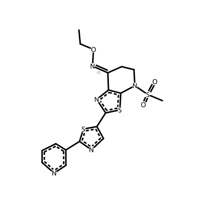 CCO/N=C1\CCN(S(C)(=O)=O)c2sc(-c3cnc(-c4cccnc4)s3)nc21